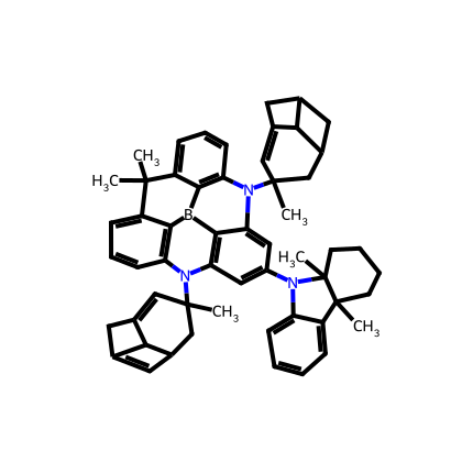 CC1(C)c2cccc3c2B2c4c(cc(N5c6ccccc6C6(C)CCCCC56C)cc4N(C4(C)C=C5CC6CC(C4)C56)c4cccc1c42)N3C1(C)C=C2CC3=CC(C1)C32